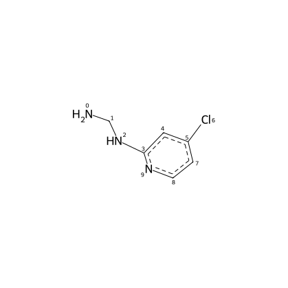 NCNc1cc(Cl)ccn1